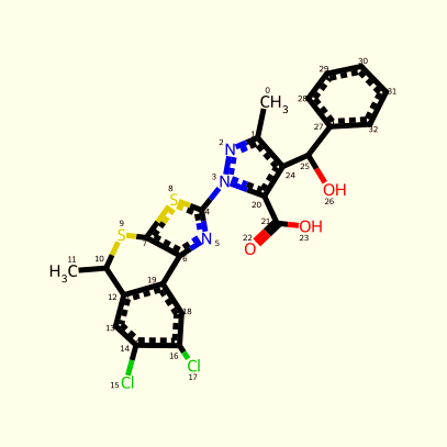 Cc1nn(-c2nc3c(s2)SC(C)c2cc(Cl)c(Cl)cc2-3)c(C(=O)O)c1C(O)c1ccccc1